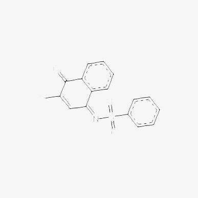 O=C1C(Cl)=C/C(=N/S(=O)(=O)c2ccccc2)c2ccccc21